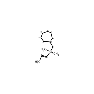 CC=C[Si](C)(C)CN1CCCCCC1